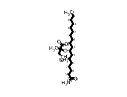 CCC(C)(C)C(=O)O.CCCCCCCCCCCCCCCCCC(N)=O.N